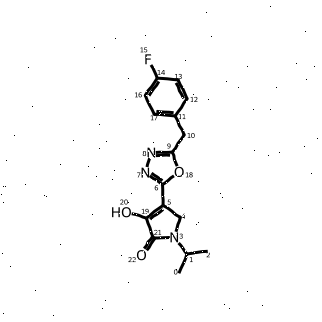 CC(C)N1CC(c2nnc(Cc3ccc(F)cc3)o2)=C(O)C1=O